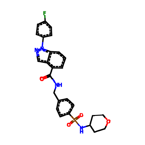 O=C(NCc1ccc(S(=O)(=O)NC2CCOCC2)cc1)c1cccc2c1cnn2-c1ccc(F)cc1